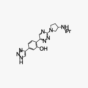 CC(C)NC1CCN(c2ncc(-c3ccc(-c4c[nH]nn4)cc3O)nn2)C1